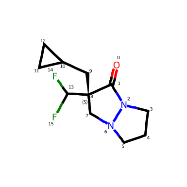 O=C1N2CCCN2C[C@]1(CC1CC1)C(F)F